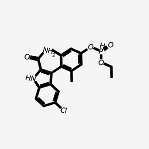 CCO[PH](=O)Oc1cc(C)c(-c2c(C(N)=O)[nH]c3ccc(Cl)cc23)c(C)c1